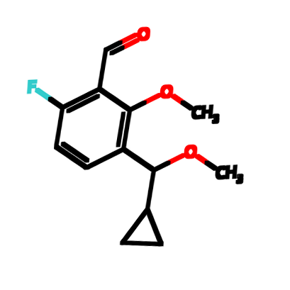 COc1c(C(OC)C2CC2)ccc(F)c1C=O